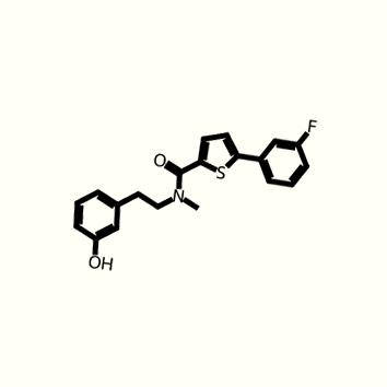 CN(CCc1cccc(O)c1)C(=O)c1ccc(-c2cccc(F)c2)s1